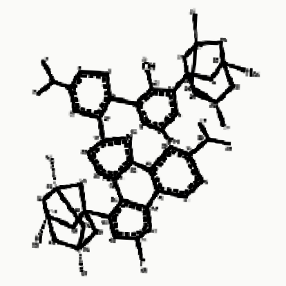 CC(C)c1ccc(-c2cc(F)cc(C34C[C@@H]5C[C@@](C)(C3)C[C@](C)(C5)C4)c2O)c(-c2cccc(-c3cc(C(C)C)ccc3-c3cc(F)cc(C45C[C@@H]6C[C@@](C)(C4)C[C@](C)(C6)C5)c3O)n2)c1